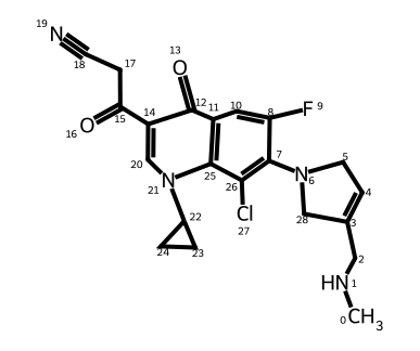 CNCC1=CCN(c2c(F)cc3c(=O)c(C(=O)CC#N)cn(C4CC4)c3c2Cl)C1